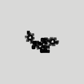 COc1cc(C(=O)NCc2ccc(F)cc2)nc(C(=O)NCc2ccc(F)cc2)c1O